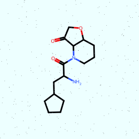 NC(CC1CCCC1)C(=O)N1CCCC2OCC(=O)C21